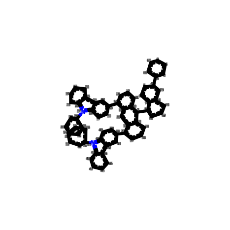 c1ccc(-c2ccc3c(-c4c5cccc(-c6ccc7c(c6)c6ccccc6n7-c6ccccc6)c5cc5c(-c6ccc7c(c6)c6ccccc6n7-c6ccccc6)cccc45)cccc3c2)cc1